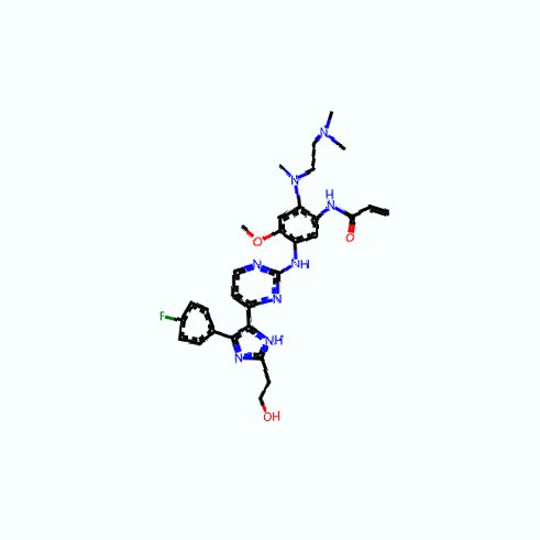 C=CC(=O)Nc1cc(Nc2nccc(-c3[nH]c(CCO)nc3-c3ccc(F)cc3)n2)c(OC)cc1N(C)CCN(C)C